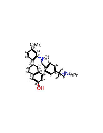 CCCNCC(C)(C)c1ccc(CN(CC)c2cc(OC)ccc2[C@@H]2CCc3cc(O)ccc3C2)cc1